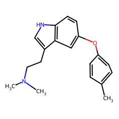 Cc1ccc(Oc2ccc3[nH]cc(CCN(C)C)c3c2)cc1